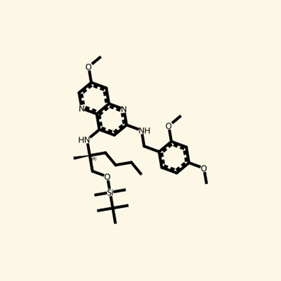 CCCC[C@](C)(CO[Si](C)(C)C(C)(C)C)Nc1cc(NCc2ccc(OC)cc2OC)nc2cc(OC)cnc12